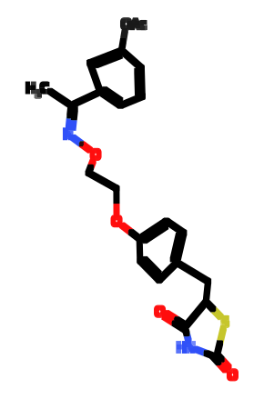 CC(=O)Oc1cccc(/C(C)=N\OCCOc2ccc(CC3SC(=O)NC3=O)cc2)c1